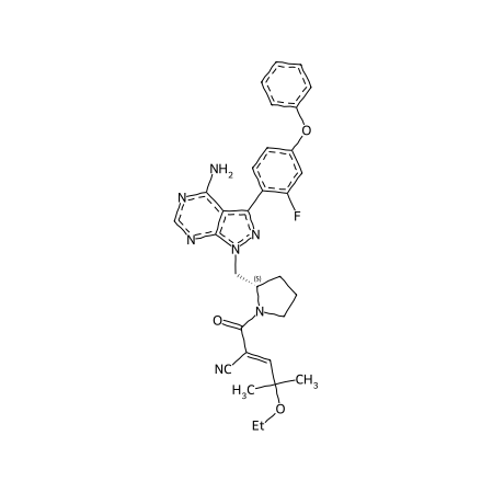 CCOC(C)(C)C=C(C#N)C(=O)N1CCC[C@H]1Cn1nc(-c2ccc(Oc3ccccc3)cc2F)c2c(N)ncnc21